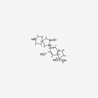 Cl.O=C1CC2(CCNCC2)CN1c1ccc2c(c1)CCS2(O)O